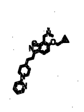 CN(C)Cc1c(OCC2CC2)ccc2c(CCC3CCN(c4ccccn4)CC3)noc12